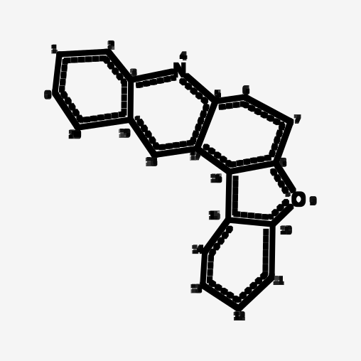 c1ccc2nc3ccc4oc5ccccc5c4c3cc2c1